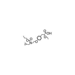 CCCOC(=O)N(CCOc1ccc(CC(OCC)C(=O)O)cc1)CC1CC1